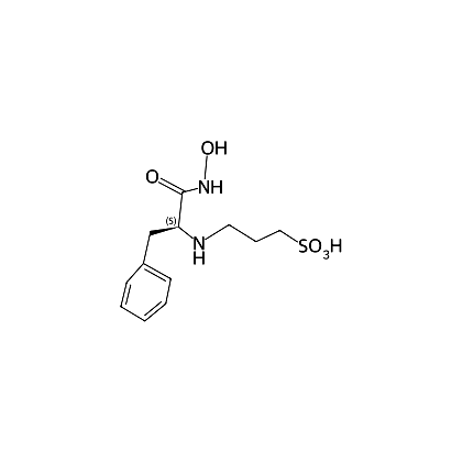 O=C(NO)[C@H](Cc1ccccc1)NCCCS(=O)(=O)O